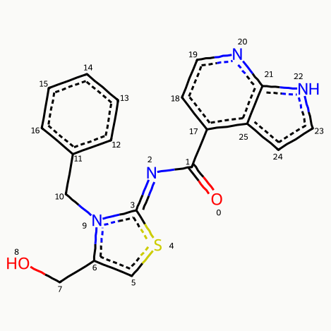 O=C(/N=c1\scc(CO)n1Cc1ccccc1)c1ccnc2[nH]ccc12